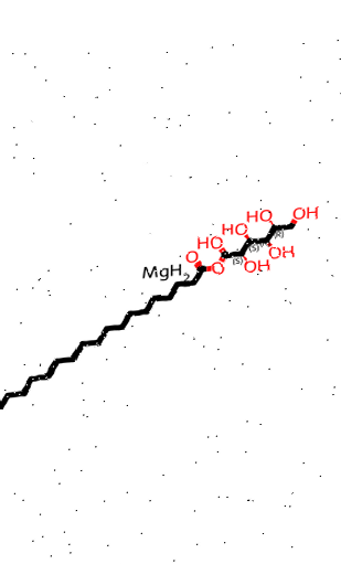 CCCCCCCCCCCCCCCCCC(=O)OC(O)[C@@H](O)[C@@H](O)[C@H](O)[C@H](O)CO.[MgH2]